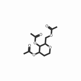 CC(=O)OCC1OCCC(OC(C)=O)C1OC(C)=O